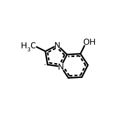 Cc1[c]n2cccc(O)c2n1